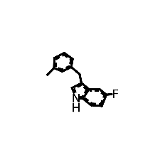 Cc1cccc(Cc2c[nH]c3ccc(F)cc23)c1